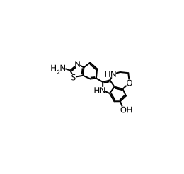 Nc1nc2ccc(-c3[nH]c4cc(O)cc5c4c3NCCO5)cc2s1